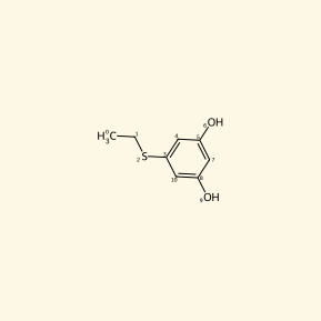 CCSc1cc(O)cc(O)c1